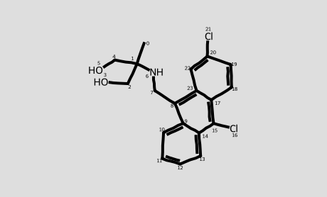 CC(CO)(CO)NCc1c2ccccc2c(Cl)c2ccc(Cl)cc12